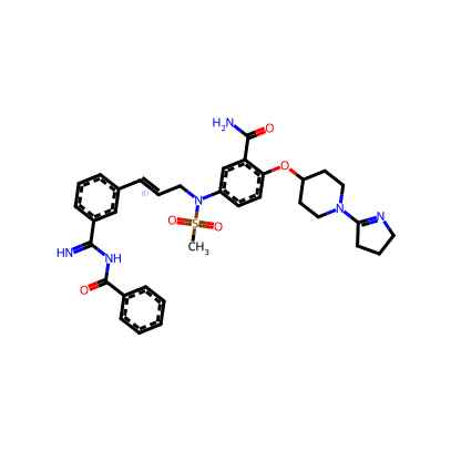 CS(=O)(=O)N(C/C=C/c1cccc(C(=N)NC(=O)c2ccccc2)c1)c1ccc(OC2CCN(C3=NCCC3)CC2)c(C(N)=O)c1